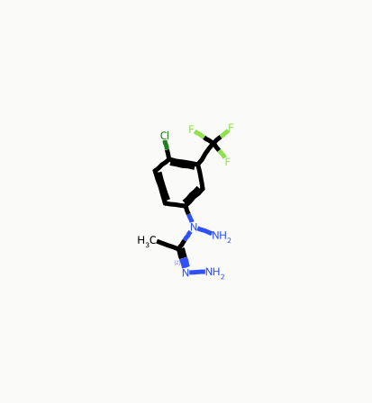 C/C(=N/N)N(N)c1ccc(Cl)c(C(F)(F)F)c1